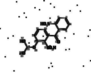 O=C(c1ccccc1S(=O)(=O)O)c1cccc(OC(O)O)c1S(=O)(=O)O